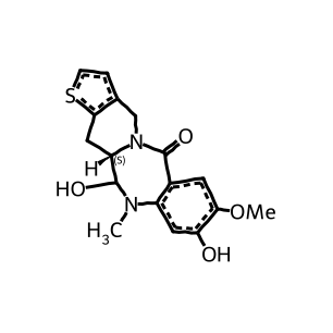 COc1cc2c(cc1O)N(C)C(O)[C@@H]1Cc3sccc3CN1C2=O